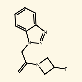 C=C(Cn1nnc2ccccc21)N1CC(F)C1